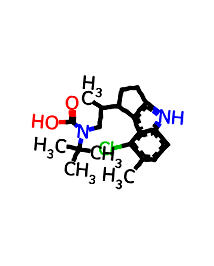 Cc1ccc2[nH]c3c(c2c1Cl)C(C(C)CN(C(=O)O)C(C)(C)C)CC3